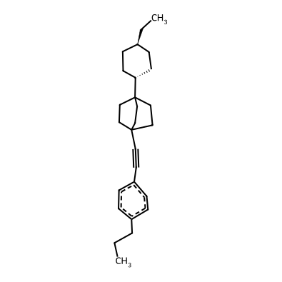 CCCc1ccc(C#CC23CCC([C@H]4CC[C@H](CC)CC4)(CC2)CC3)cc1